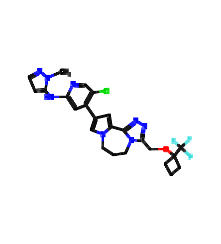 Cn1nccc1Nc1cc(-c2cc3n(c2)CCCn2c(COC4(C(F)(F)F)CCC4)nnc2-3)c(Cl)cn1